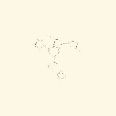 CC[C@H](NC(=O)c1cc(-n2nncc2C(C)C)c2ncc(-c3ccc(Cl)s3)n2c1)c1nnc[nH]1